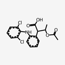 CC(=O)OC(C)C(C(=O)O)c1ccccc1Nc1c(Cl)cccc1Cl